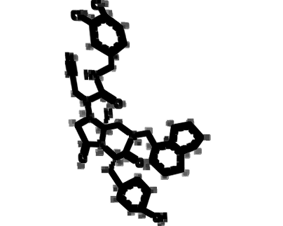 N#CCN(C(=O)NCc1ccc(Cl)c(Cl)c1)N1CC(=O)N2[C@@H](Cc3ccc(O)cc3)C(=O)N(Cc3cccc4ccccc34)C[C@@H]21